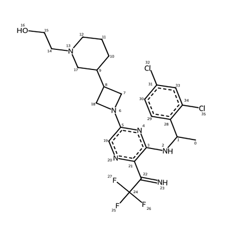 CC(Nc1nc(N2CC(C3CCCN(CCO)C3)C2)cnc1C(=N)C(F)(F)F)c1ccc(Cl)cc1Cl